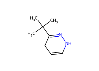 CC(C)(C)C1=NNC=CC1